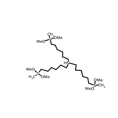 CO[Si](C)(CCCCCC[SiH](CCCCCC[Si](C)(OC)OC)CCCCCC[Si](C)(OC)OC)OC